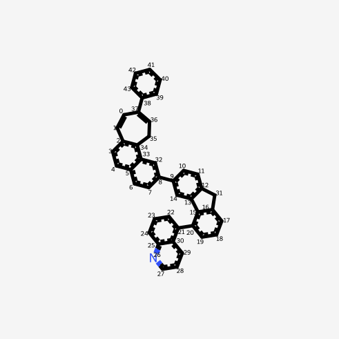 C1=Cc2ccc3ccc(-c4ccc5c(c4)-c4c(cccc4-c4cccc6ncccc46)C5)cc3c2CC=C1c1ccccc1